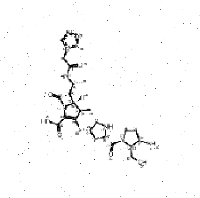 C[C@@H](NC(=O)Cn1cnnn1)[C@H]1C(=O)N2C(C(=O)O)=C(S[C@@H]3CN[C@H](C(=O)N4CC[C@@H](N)[C@H]4CO)C3)[C@H](C)[C@H]12